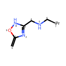 C=C1N=C(CNCC(C)C)NO1